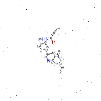 CC#CC(=O)Nc1cc(-c2cnc(C)c(/C(C)=C\CCC)c2)ccc1I